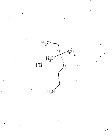 CCC(C)(C)OCCN.Cl